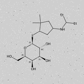 CCC(CC)NC1CC(S[C@@H]2O[C@H](CO)[C@H](O)[C@H](O)[C@H]2O)C(C)(C)C1